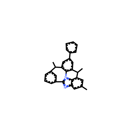 Cc1cc2c3c(c1)nc1n3-c3c(cc(-c4ccccc4)cc3C2C)C(C)c2cccc-1c2